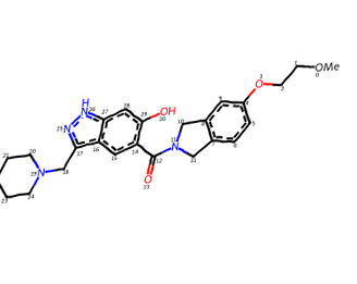 COCCOc1ccc2c(c1)CN(C(=O)c1cc3c(CN4CCCCC4)n[nH]c3cc1O)C2